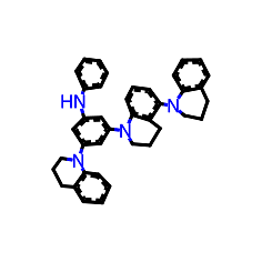 c1ccc(Nc2cc(N3CCCc4ccccc43)cc(N3CCCc4c3cccc4N3CCCc4ccccc43)c2)cc1